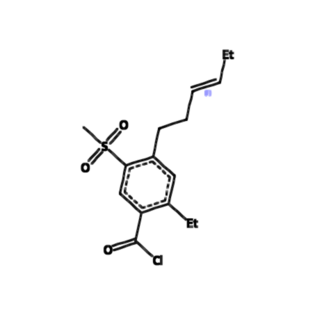 CC/C=C/CCc1cc(CC)c(C(=O)Cl)cc1S(C)(=O)=O